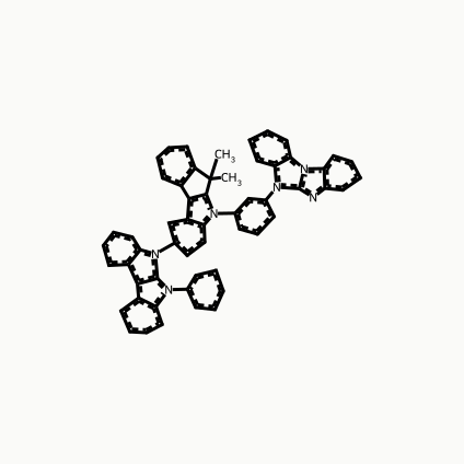 CC1(C)c2ccccc2-c2c1n(-c1cccc(-n3c4ccccc4n4c5ccccc5nc34)c1)c1ccc(-n3c4ccccc4c4c5ccccc5n(-c5ccccc5)c43)cc21